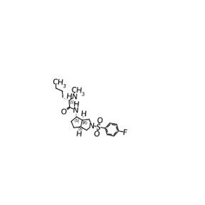 CCCC[C@H](NC)C(=O)N[C@H]1CC[C@@H]2CN(S(=O)(=O)c3ccc(F)cc3)C[C@@H]21